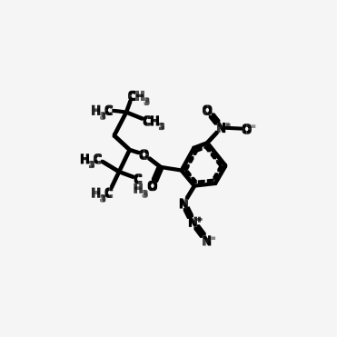 CC(C)(C)CC(OC(=O)c1cc([N+](=O)[O-])ccc1N=[N+]=[N-])C(C)(C)C